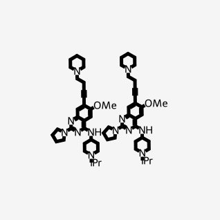 COc1cc2c(NC3CCN(C(C)C)CC3)nc(N3CCCC3)nc2cc1C#CCCN1CCCCC1.COc1cc2c(NC3CCN(C(C)C)CC3)nc(N3CCCC3)nc2cc1C#CCCN1CCCCC1